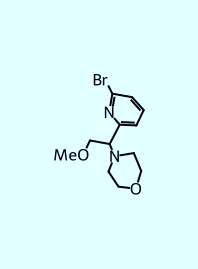 COCC(c1cccc(Br)n1)N1CCOCC1